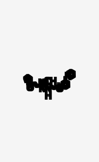 Cn1nc(CCC(=O)N2CCCC2)nc1NCCCOc1cccc(CN2CCCCC2)c1